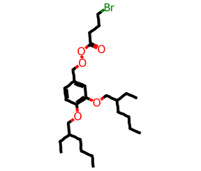 CCCCC(CC)COc1ccc(COOC(=O)CCCBr)cc1OCC(CC)CCCC